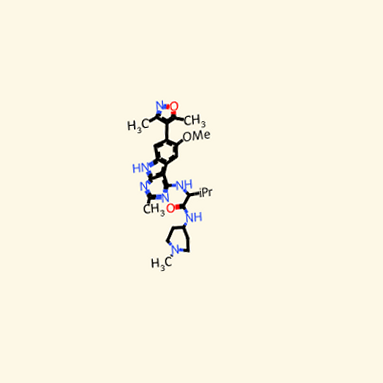 COc1cc2c(cc1-c1c(C)noc1C)[nH]c1nc(C)nc(NC(C(=O)NC3CCN(C)CC3)C(C)C)c12